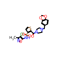 Cc1noc(NS(=O)(=O)c2ccsc2C(=O)N2CCN(Cc3ccc4c(c3)OCO4)CC2)c1Cl